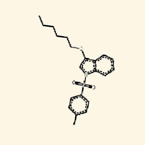 CCCCCCOc1cn(S(=O)(=O)c2ccc(C)cc2)c2ccccc12